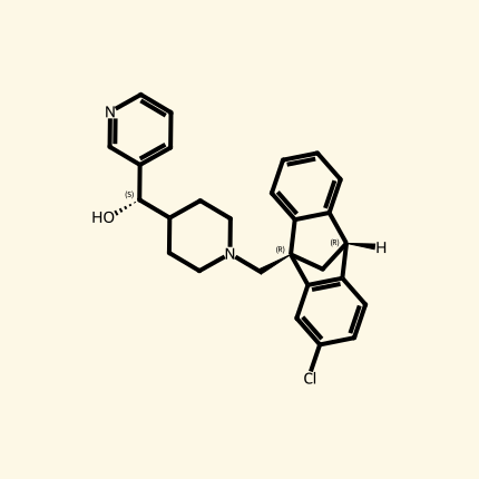 O[C@H](c1cccnc1)C1CCN(C[C@]23C[C@H](c4ccccc42)c2ccc(Cl)cc23)CC1